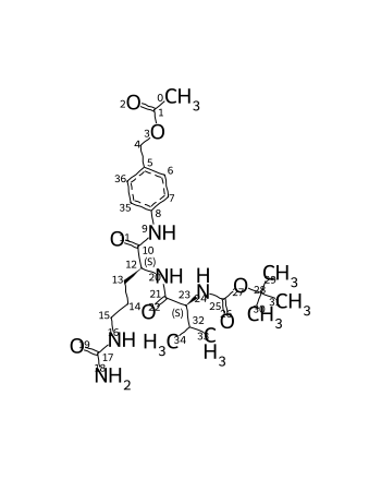 CC(=O)OCc1ccc(NC(=O)[C@H](CCCNC(N)=O)NC(=O)[C@@H](NC(=O)OC(C)(C)C)C(C)C)cc1